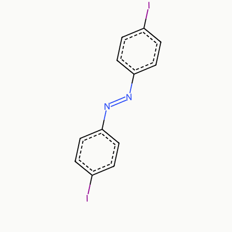 Ic1ccc(N=Nc2ccc(I)cc2)cc1